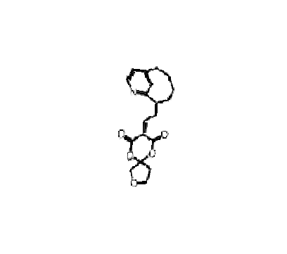 O=C1OC2(CCOC2)OC(=O)C1=CCC1CCCCc2ccnc1c2